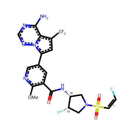 COc1ncc(-c2cc(C(F)(F)F)c3c(N)ncnn23)cc1C(=O)N[C@@H]1CN(S(=O)(=O)/C=C\F)C[C@@H]1F